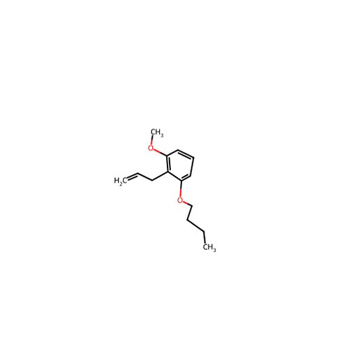 C=CCc1c(OC)cccc1OCCCC